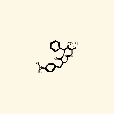 CCOC(=O)C1=C(C)N=C2SC(Cc3ccc(N(CC)CC)cc3)C(=O)N2C1c1ccccc1